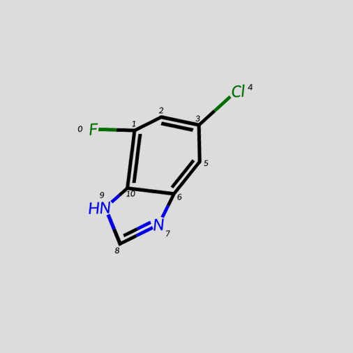 Fc1cc(Cl)cc2nc[nH]c12